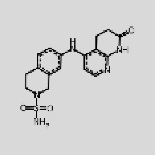 NS(=O)(=O)N1CCc2ccc(Nc3ccnc4c3CCC(=O)N4)cc2C1